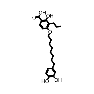 CCCc1c(OCCCCCCCCc2ccc(O)c(O)c2)ccc(C(=O)O)c1O